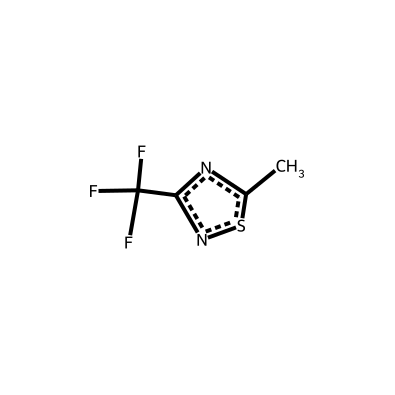 Cc1nc(C(F)(F)F)ns1